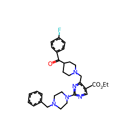 CCOC(=O)c1cnc(N2CCN(Cc3ccccc3)CC2)nc1CN1CCC(C(=O)c2ccc(F)cc2)CC1